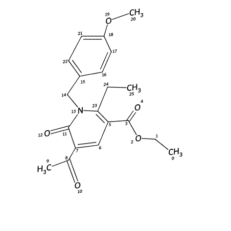 CCOC(=O)c1cc(C(C)=O)c(=O)n(Cc2ccc(OC)cc2)c1CC